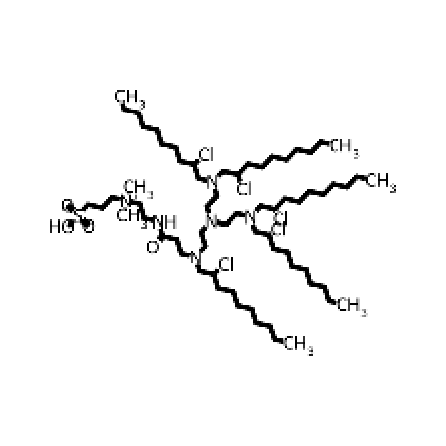 CCCCCCCCC(Cl)CN(CCC(=O)NCC[N+](C)(C)CCCS(=O)(=O)O)CCN(CCN(CC(Cl)CCCCCCCC)CC(Cl)CCCCCCCC)CCN(CC(Cl)CCCCCCCC)CC(Cl)CCCCCCCC